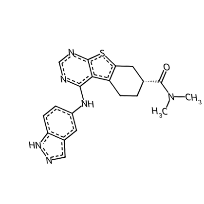 CN(C)C(=O)[C@@H]1CCc2c(sc3ncnc(Nc4ccc5[nH]ncc5c4)c23)C1